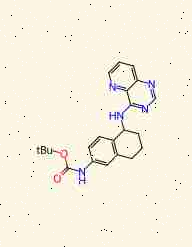 CC(C)(C)OC(=O)Nc1ccc2c(c1)CCCC2Nc1ncnc2cccnc12